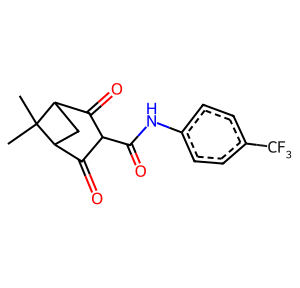 CC1(C)C2CC1C(=O)C(C(=O)Nc1ccc(C(F)(F)F)cc1)C2=O